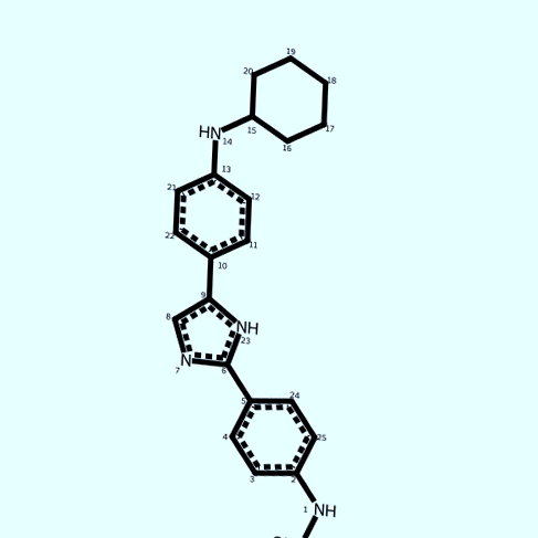 O=CNc1ccc(-c2ncc(-c3ccc(NC4CCCCC4)cc3)[nH]2)cc1